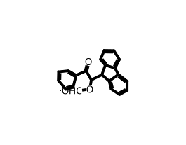 O=[C]OC(C(=O)c1ccccc1)C1c2ccccc2-c2ccccc21